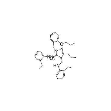 CCCOc1ccccc1CN1N=C(CCC)C(=CNc2ccccc2CC)C1=O.CCc1ccccc1N